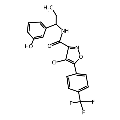 CCC(NC(=O)c1noc(-c2ccc(C(F)(F)F)cc2)c1Cl)c1cccc(O)c1